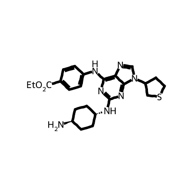 CCOC(=O)c1ccc(Nc2nc(N[C@H]3CC[C@H](N)CC3)nc3c2ncn3C2CCSC2)cc1